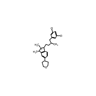 CC1c2cc(N3CCOCC3)ccc2C(CCN(C)Cc2cc(Cl)cc(Cl)c2)[C@@H]1C